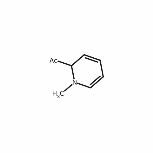 CC(=O)C1C=CC=CN1C